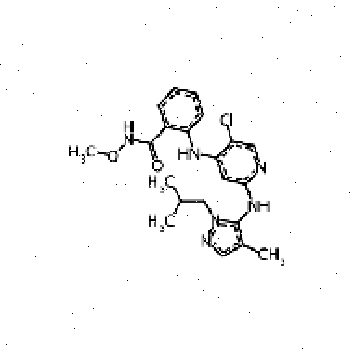 CONC(=O)c1ccccc1Nc1cc(Nc2c(C)cnn2CC(C)C)ncc1Cl